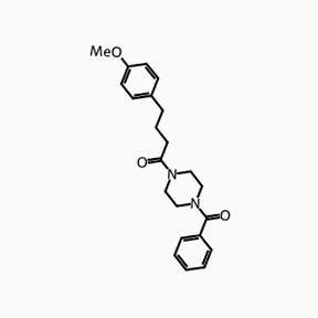 COc1ccc(CCCC(=O)N2CCN(C(=O)c3ccccc3)CC2)cc1